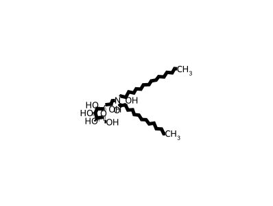 CCCCCCCCCCCCCCCCN(CC(O)C[C@@H]1O[C@H](CO)[C@@H](O)[C@H](O)[C@H]1O)C(=O)C(O)CCCCCCCCCCCC